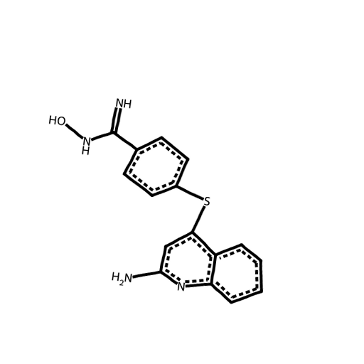 N=C(NO)c1ccc(Sc2cc(N)nc3ccccc23)cc1